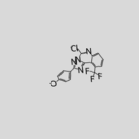 COc1ccc(-c2nc3c4c(C(F)(F)F)cccc4nc(Cl)n3n2)cc1